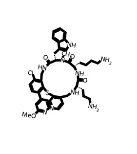 COc1cc(-c2ccc(Cl)c3c2Sc2cnccc2CN[C@@H](CCCN)C(=O)N[C@@H](CCCCN)C(=O)N(C)[C@@H](Cc2c[nH]c4ccccc24)C(=O)NC3)ccn1